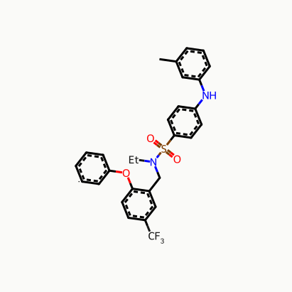 CCN(Cc1cc(C(F)(F)F)ccc1Oc1c[c]ccc1)S(=O)(=O)c1ccc(Nc2cccc(C)c2)cc1